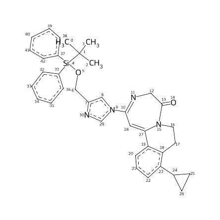 CC(C)(C)[Si](OCc1cn(C2=NCC(=O)N3CCc4c(cccc4C4CC4)C3=C2)cn1)(c1ccccc1)c1ccccc1